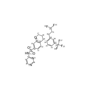 O=S(=O)(Nc1ccncn1)c1ccc2c(c1)OCC[C@@H]2c1ccc(C(F)(F)F)cc1CCC(F)F